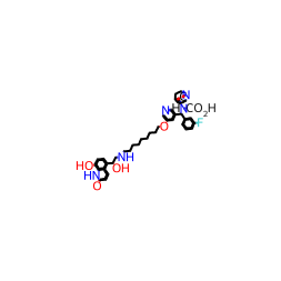 O=C(O)N(C(c1cccc(F)c1)c1cncc(OCCCCCCCCCNC[C@@H](O)c2ccc(O)c3[nH]c(=O)ccc23)c1)[C@H]1CN2CCC1CC2